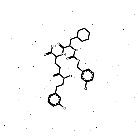 CN(CCc1cccc(Cl)c1)C(=O)CCC(NC(=O)C(CC1CCCCC1)NC(=O)OCc1cccc(Cl)c1)C(=O)O